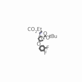 CCOC(=O)/C=C/[C@@H]1C[C@H](Oc2ccc(F)c(F)c2)CN1C(=O)OC(C)(C)C